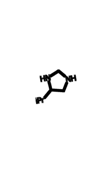 CC(C)C1CNCN1